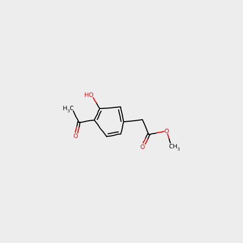 COC(=O)Cc1ccc(C(C)=O)c(O)c1